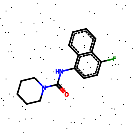 O=C(Nc1ccc(F)c2ccccc12)N1CCCCC1